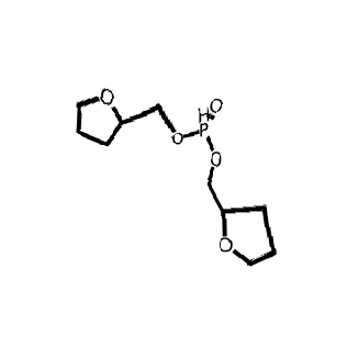 O=[PH](OCC1CCCO1)OCC1CCCO1